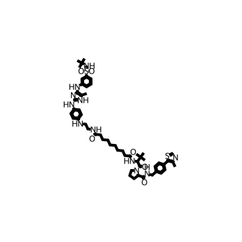 Cc1ncsc1-c1ccc(CNC(=O)C2CCCN2C(=O)C(NC(=O)CCCCCCCCC(=O)NCCNc2ccc(Nc3nc(Nc4cccc(S(=O)(=O)NC(C)(C)C)c4)c(C)[nH]3)cc2)C(C)(C)C)cc1